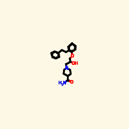 NC(=O)C1CCN(CC(O)COc2ccccc2CCc2ccccc2)CC1